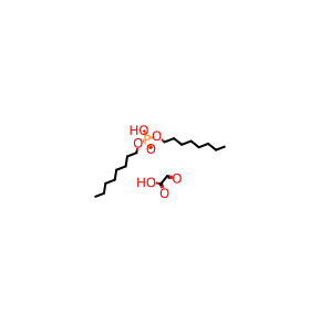 CCCCCCCCOP(=O)(O)OCCCCCCCC.O=CC(=O)O